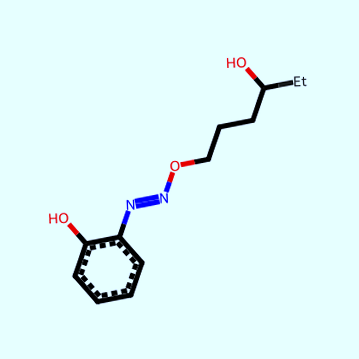 CCC(O)CCCON=Nc1ccccc1O